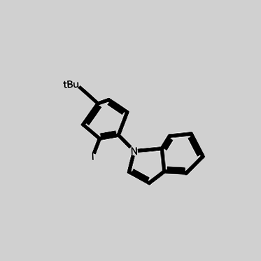 CC(C)(C)c1ccc(-n2ccc3ccccc32)c(I)c1